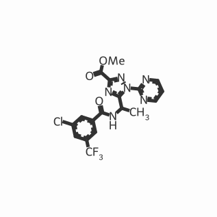 COC(=O)c1nc(C(C)NC(=O)c2cc(Cl)cc(C(F)(F)F)c2)n(-c2ncccn2)n1